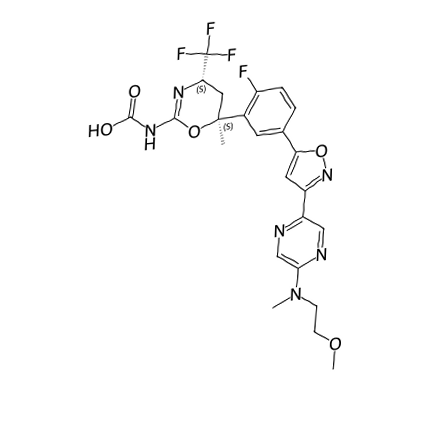 COCCN(C)c1cnc(-c2cc(-c3ccc(F)c([C@]4(C)C[C@@H](C(F)(F)F)N=C(NC(=O)O)O4)c3)on2)cn1